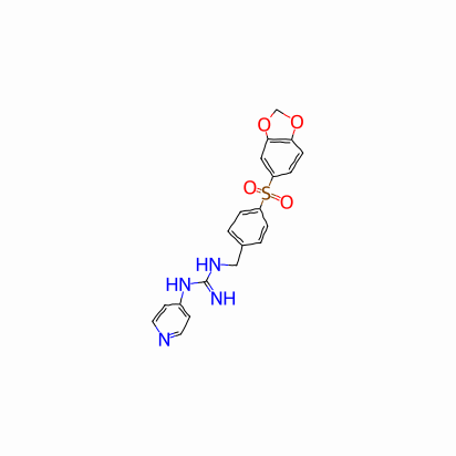 N=C(NCc1ccc(S(=O)(=O)c2ccc3c(c2)OCO3)cc1)Nc1ccncc1